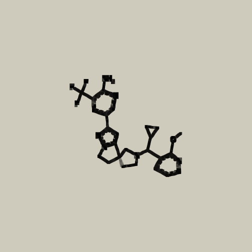 COc1ncccc1C(C1CC1)N1CC[C@@]2(CCn3nc(-c4cnc(N)c(C(F)(F)F)c4)cc32)C1